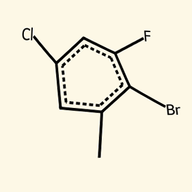 Cc1cc(Cl)cc(F)c1Br